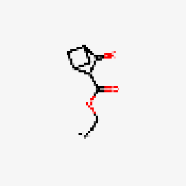 CCOC(=O)C1C(=O)C2CC1C2